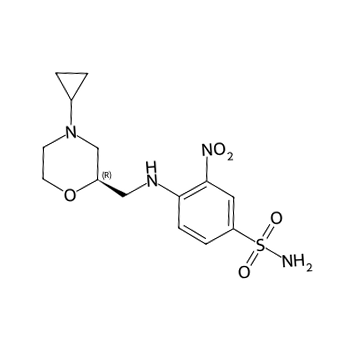 NS(=O)(=O)c1ccc(NC[C@@H]2CN(C3CC3)CCO2)c([N+](=O)[O-])c1